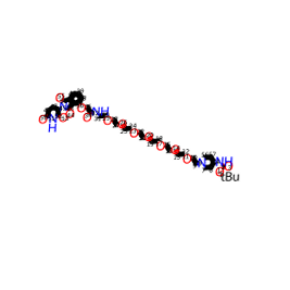 CC(C)(C)OC(=O)NC1CCN(CCOCCOCCOCCOCCOCCOCCOCCNC(=O)COc2cccc3c2C(=O)N(C2CCC(=O)NC2=O)C3=O)CC1